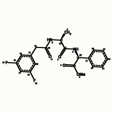 COC(=O)[C@@H](NC(=O)[C@H](C)NC(=O)Cc1cc(F)cc(F)c1)c1ccccc1